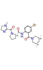 C[C@@H]1C[C@H](C)CN(C(=O)c2cc(Br)ccc2NC(=O)[C@@H]2CCCN2C(=O)C2=NCCN2C)C1